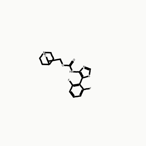 O=C(Nc1ncsc1-c1c(F)cccc1F)OCC1CN2CCC1CC2